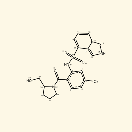 O=C(c1ccc(Cl)cc1NS(=O)(=O)C1=CC=CN2SNC=C12)N1CCCC1CO